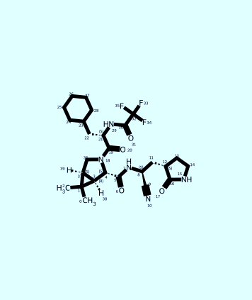 CC1(C)[C@@H]2[C@@H](C(=O)N[C@H](C#N)C[C@@H]3CCNC3=O)N(C(=O)[C@H](CC3CCCCC3)NC(=O)C(F)(F)F)C[C@@H]21